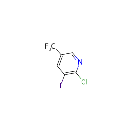 FC(F)(F)c1cnc(Cl)c(I)c1